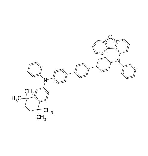 CC1(C)CCC(C)(C)c2cc(N(c3ccccc3)c3ccc(-c4ccc(-c5ccc(N(c6ccccc6)c6cccc7oc8ccccc8c67)cc5)cc4)cc3)ccc21